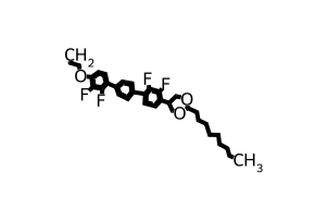 C=CCOc1ccc(-c2ccc(-c3ccc(C4COC(CCCCCCCCC)OC4)c(F)c3F)cc2)c(F)c1F